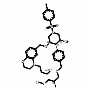 CCOC[C@H](C)COCc1ccc([C@H]2[C@H](O)CN(S(=O)(=O)c3ccc(C)cc3)C[C@@H]2OCc2ccc3c(c2)N(CCCOC)CCO3)cc1